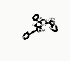 C[C@@H](NC(=O)c1c(N)nn2cccnc12)c1nc2[nH]nc(C#Cc3ccncc3)c2c(=O)n1-c1ccccc1